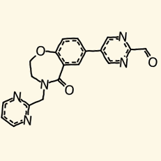 O=Cc1ncc(-c2ccc3c(c2)C(=O)N(Cc2ncccn2)CCO3)cn1